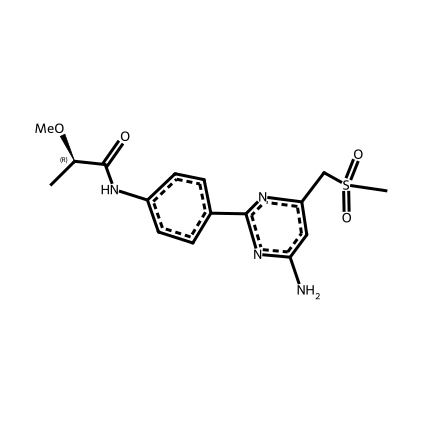 CO[C@H](C)C(=O)Nc1ccc(-c2nc(N)cc(CS(C)(=O)=O)n2)cc1